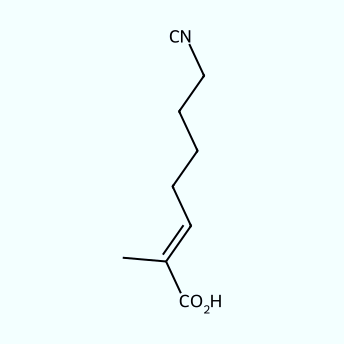 [C-]#[N+]CCCC/C=C(\C)C(=O)O